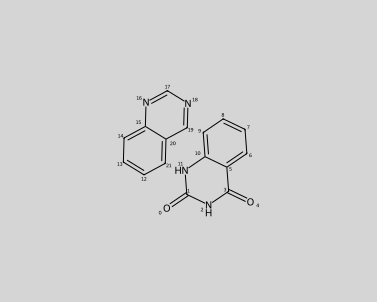 O=c1[nH]c(=O)c2ccccc2[nH]1.c1ccc2ncncc2c1